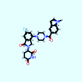 Cn1ccc2cc(C(=O)N3CCN(c4cc(F)cc5c4CN(C4CCC(=O)NC4=O)C5=O)CC3)ccc21